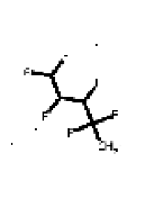 [CH2]C(F)(F)C(F)C(F)C(F)F